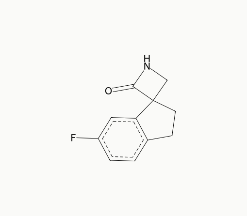 O=C1NCC12CCc1ccc(F)cc12